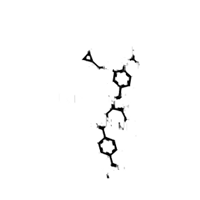 COC(=O)c1ccc(C(=O)NCc2nc(-c3ccc(OC(F)F)c(OCC4CC4)c3)oc2[C@H](C)N)cc1.Cl